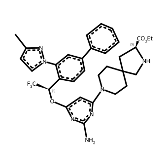 CCOC(=O)[C@@H]1CC2(CCN(c3cc(O[C@H](c4ccc(-c5ccccc5)cc4-n4ccc(C)n4)C(F)(F)F)nc(N)n3)CC2)CN1